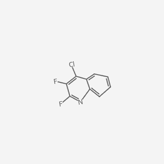 Fc1nc2ccccc2c(Cl)c1F